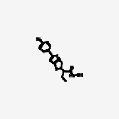 CCC(C(=O)NO)N1Cc2sc(-c3ccc(Br)cc3)cc2S1